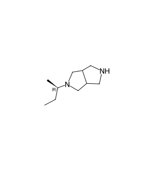 CC[C@@H](C)N1CC2CNCC2C1